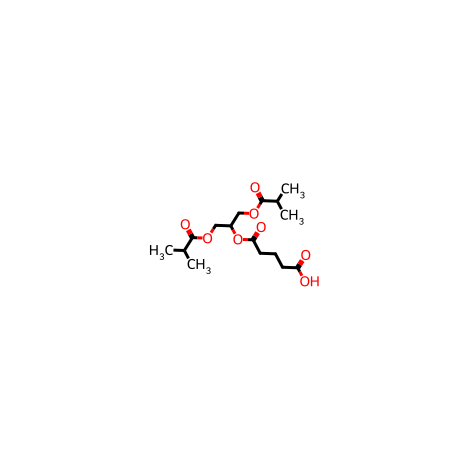 CC(C)C(=O)OCC(COC(=O)C(C)C)OC(=O)CCCC(=O)O